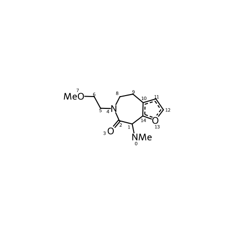 CNC1C(=O)N(CCOC)CCc2ccoc21